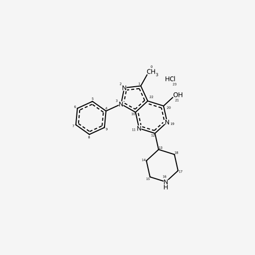 Cc1nn(-c2ccccc2)c2nc(C3CCNCC3)nc(O)c12.Cl